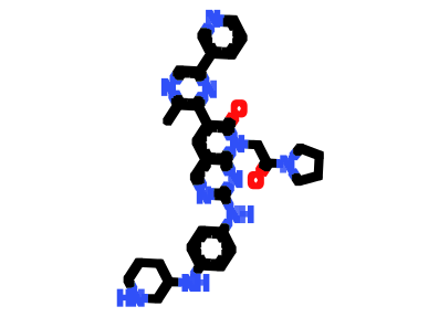 Cc1ncc(-c2cccnc2)nc1-c1cc2cnc(Nc3ccc(NC4CCCNC4)cc3)nc2n(CC(=O)N2CCCC2)c1=O